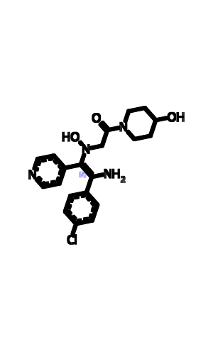 N/C(=C(/c1ccncc1)N(O)CC(=O)N1CCC(O)CC1)c1ccc(Cl)cc1